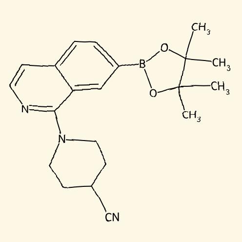 CC1(C)OB(c2ccc3ccnc(N4CCC(C#N)CC4)c3c2)OC1(C)C